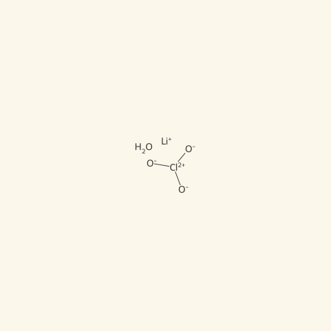 O.[Li+].[O-][Cl+2]([O-])[O-]